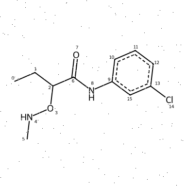 CCC(ONC)C(=O)Nc1cccc(Cl)c1